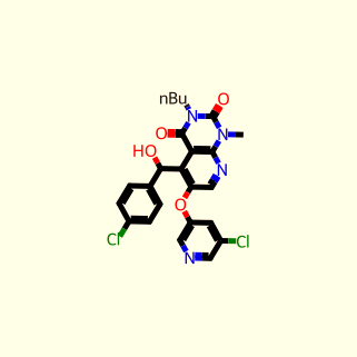 CCCCn1c(=O)c2c(C(O)c3ccc(Cl)cc3)c(Oc3cncc(Cl)c3)cnc2n(C)c1=O